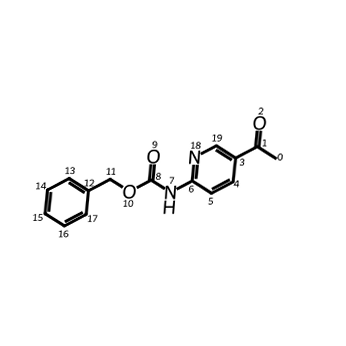 CC(=O)c1ccc(NC(=O)OCc2ccccc2)nc1